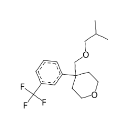 CC(C)COCC1(c2cccc(C(F)(F)F)c2)CCOCC1